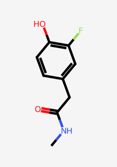 CNC(=O)Cc1ccc(O)c(F)c1